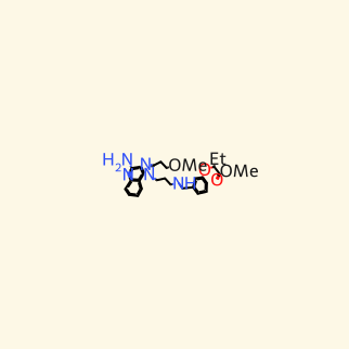 CCC(Oc1cccc(CNCCCn2c(CCOC)nc3c(N)nc4ccccc4c32)c1)C(=O)OC